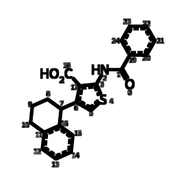 O=C(Nc1scc(C2CCCc3ccccc32)c1C(=O)O)c1ccccc1